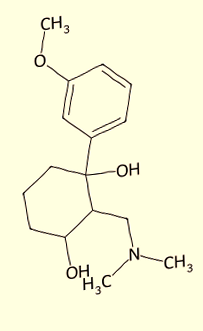 COc1cccc(C2(O)CCCC(O)C2CN(C)C)c1